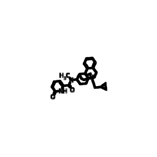 CN(C(=O)c1cccc(=O)[nH]1)C1CCC23CCC1C21CCN(CC2CC2)C3Cc2ccccc21